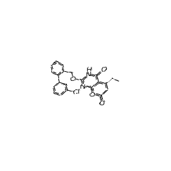 CCc1cc(=O)oc2nc(OCc3ccccc3-c3cccc(Cl)c3)[nH]c(=O)c12